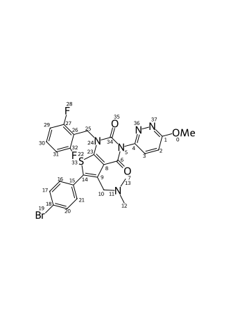 COc1ccc(-n2c(=O)c3c(CN(C)C)c(-c4ccc(Br)cc4)sc3n(Cc3c(F)cccc3F)c2=O)nn1